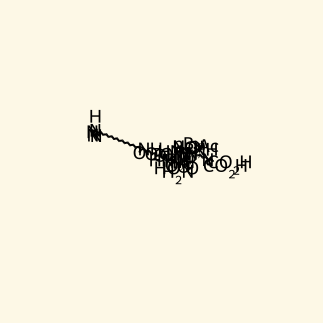 CCCC[C@H](NC(=O)[C@H](CCCCN(CC(=O)O)CC(=O)O)NC(=O)[C@H](Cc1c[nH]cn1)NC(=O)[C@H](CCC(N)=O)NC(=O)[C@H](CO)NC(=O)CNC(=O)COCCOCCNC(=O)CCCCCCCCCCCCCCCc1nnn[nH]1)C(C)=O